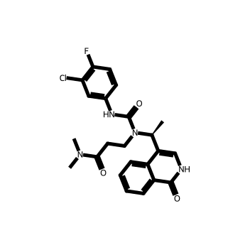 C[C@@H](c1c[nH]c(=O)c2ccccc12)N(CCC(=O)N(C)C)C(=O)Nc1ccc(F)c(Cl)c1